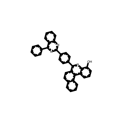 Oc1cccc2c1nc(-c1ccc(-c3nc(-c4ccccc4)c4ccccc4n3)cc1)c1ccc3ccccc3c12